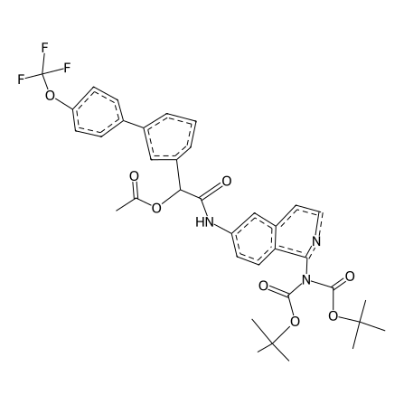 CC(=O)OC(C(=O)Nc1ccc2c(N(C(=O)OC(C)(C)C)C(=O)OC(C)(C)C)nccc2c1)c1cccc(-c2ccc(OC(F)(F)F)cc2)c1